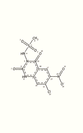 CS(=O)(=O)Nn1c(=O)[nH]c2cc(Cl)c([N+](=O)[O-])cc2c1=O